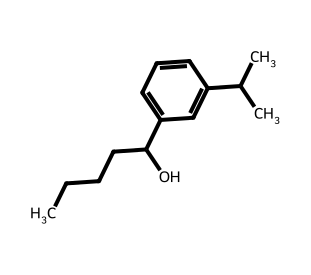 CCCCC(O)c1cccc(C(C)C)c1